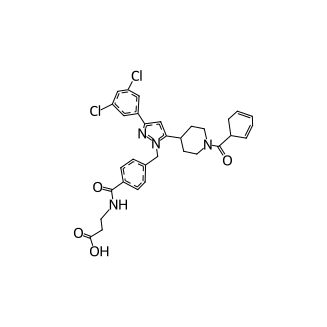 O=C(O)CCNC(=O)c1ccc(Cn2nc(-c3cc(Cl)cc(Cl)c3)cc2C2CCN(C(=O)C3C=CC=CC3)CC2)cc1